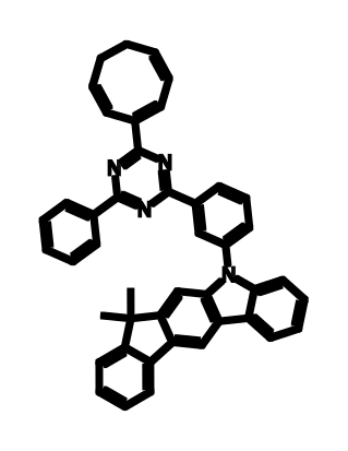 CC1(C)c2ccccc2-c2cc3c4ccccc4n(-c4cccc(-c5nc(C6=C/C=C\CC/C=C\6)nc(-c6ccccc6)n5)c4)c3cc21